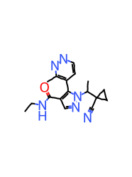 CCNC(=O)c1cnn(C(C)C2(C#N)CC2)c1-c1ccnnc1C